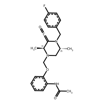 CC(=O)Nc1ccccc1OCN1C[C@@H](C)N(Cc2ccc(F)cc2)C(=C=O)[C@@H]1C